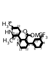 COC(=O)c1c(-c2cccc(C(F)(F)F)c2)ccnc1C1=C(C)NC(C)=CC1